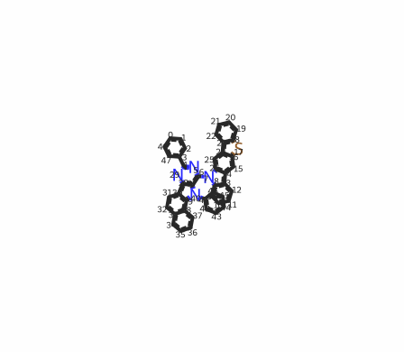 c1ccc(-c2nc(-n3c4ccccc4c4cc5sc6ccccc6c5cc43)c3c(n2)c2ccc4ccccc4c2n3-c2ccccc2)cc1